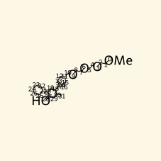 COCCOCCOCCOCC1CC2CC1CC2c1cc(C2CCCCC2)c(O)cc1C